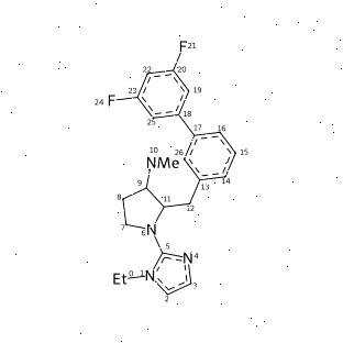 CCn1ccnc1N1CCC(NC)C1Cc1cccc(-c2cc(F)cc(F)c2)c1